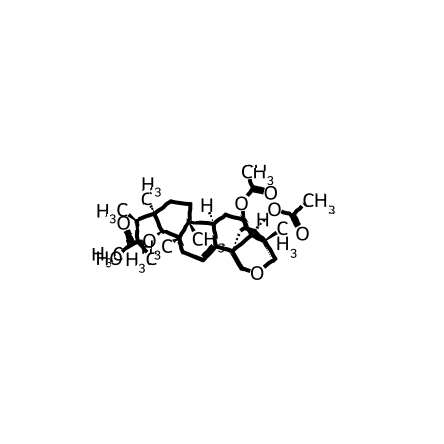 CC(=O)O[C@@H]1C[C@@]23COC[C@](C)([C@@H]2CC[C@H]2C3=CC[C@]3(C)[C@H](OC(=O)O)[C@@](C)([C@H](C)C(C)C)CC[C@]23C)[C@H]1OC(C)=O